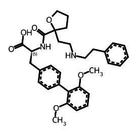 COc1cccc(OC)c1-c1ccc(C[C@H](NC(=O)C2(CCNCCc3ccccc3)CCCO2)C(=O)O)cc1